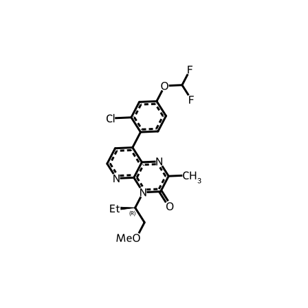 CC[C@H](COC)n1c(=O)c(C)nc2c(-c3ccc(OC(F)F)cc3Cl)ccnc21